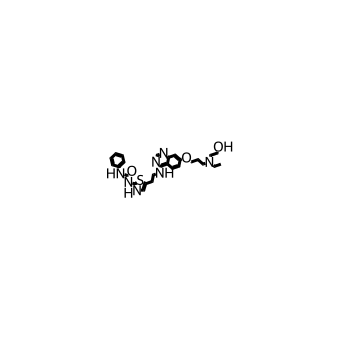 CCN(CCO)CCCOc1ccc2c(NCCc3cnc(NC(=O)Nc4ccccc4)s3)ncnc2c1